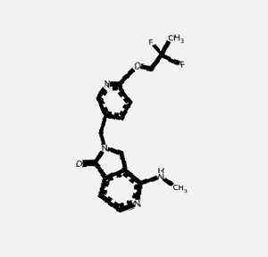 CNc1nccc2c1CN(Cc1ccc(OCC(C)(F)F)nc1)C2=O